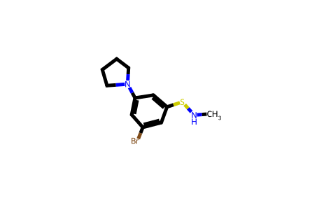 CNSc1cc(Br)cc(N2CCCC2)c1